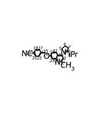 Cc1cc(N2CCC[C@@H]2C(C)C)c2ccc(OCc3ccc(C#N)cc3)cc2n1